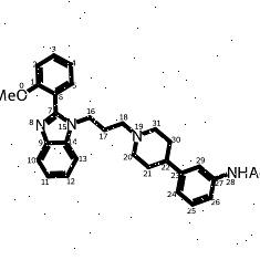 COc1ccccc1-c1nc2ccccc2n1CCCN1CCC(c2cccc(NC(C)=O)c2)CC1